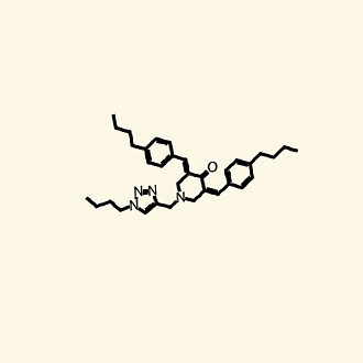 CCCCc1ccc(/C=C2/CN(Cc3cn(CCCC)nn3)C/C(=C\c3ccc(CCCC)cc3)C2=O)cc1